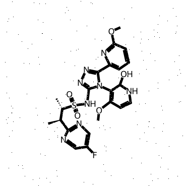 COC1=C(n2c(NS(=O)(=O)[C@@H](C)[C@H](C)c3ncc(F)cn3)nnc2-c2cccc(OC)n2)C(O)NC=C1